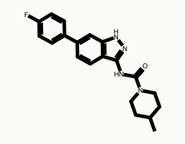 CC1CCN(C(=O)Nc2n[nH]c3cc(-c4ccc(F)cc4)ccc23)CC1